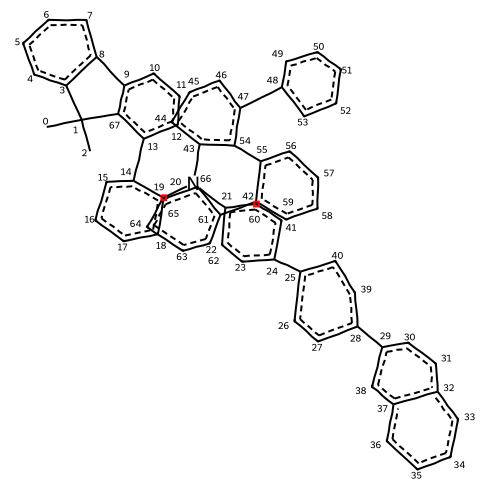 CC1(C)c2ccccc2-c2cccc(-c3ccccc3N(c3ccc(-c4ccc(-c5ccc6ccccc6c5)cc4)cc3)c3cccc(-c4ccccc4)c3-c3ccccc3-c3ccccc3)c21